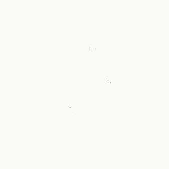 CCOC(=O)/C(=C/N(CCO)C1CCCC1)C(=O)c1cc(F)c(F)c(F)c1F